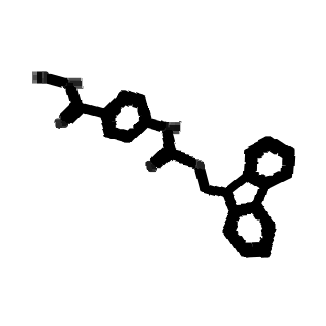 O=C(Nc1ccc(C(=O)NO)cc1)OCC1c2ccccc2-c2ccccc21